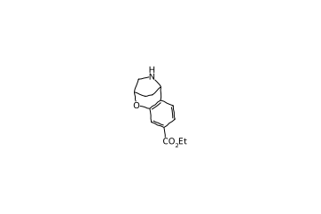 CCOC(=O)c1ccc2c(c1)OC1CCC2NC1